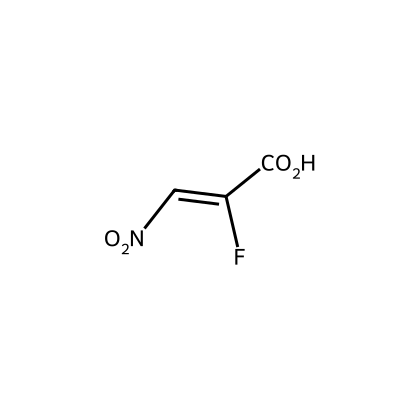 O=C(O)C(F)=C[N+](=O)[O-]